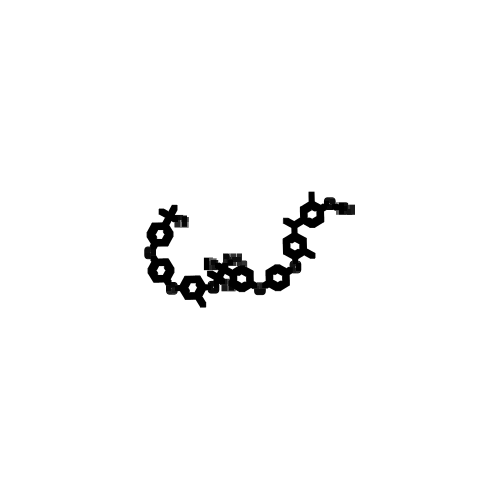 CCC(C)Oc1ccc(C(C)c2ccc(Oc3ccc(Oc4ccc(C(N)(CC)C(C)(CC)Oc5ccc(Oc6ccc(Oc7ccc(C(C)(C)CC)cc7)cc6)cc5C)cc4)cc3)c(C)c2)cc1C